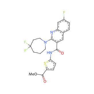 COC(=O)c1ccc(NC(=O)c2cc3ccc(F)cc3nc2N2CCCC(F)(F)CC2)s1